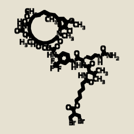 COc1cc2cc(c1Cl)N(C)C(=O)C[C@H](OC(=O)Nc1ccc(NC(=O)[C@H](CCCNC(N)=O)NC(=O)[C@@H](NC(=O)CCCCCOC(=O)C(CBr)CBr)C(C)C)cc1C(F)(F)F)[C@]1(C)O[C@H]1[C@H](C)[C@@H]1C[C@@](O)(NC(=O)O1)[C@H](OC)/C=C/C=C(\C)C2